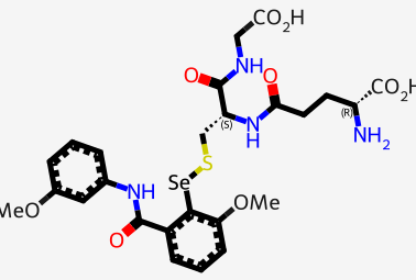 COc1cccc(NC(=O)c2cccc(OC)c2[Se]SC[C@@H](NC(=O)CC[C@@H](N)C(=O)O)C(=O)NCC(=O)O)c1